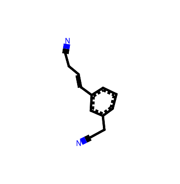 N#CCC=Cc1cccc(CC#N)c1